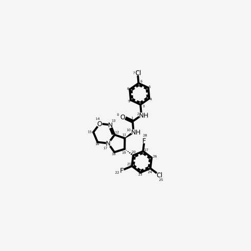 O=C(Nc1ccc(Cl)cc1)N[C@@H]1C2=NOCCN2C[C@H]1c1c(F)cc(Cl)cc1F